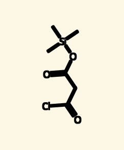 C[Si](C)(C)OC(=O)CC(=O)Cl